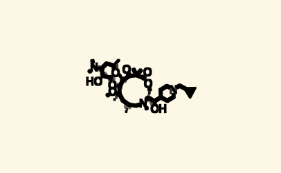 CO[C@]1(C)C[C@@H](C)CN(C)[C@@H]([C@H](O)C2CCN(CC3CC3)CC2)COC(=O)C(C)(C)C(=O)[C@H](C)[C@H]1O[C@@H]1O[C@H](C)C[C@H](N(C)C)[C@H]1O